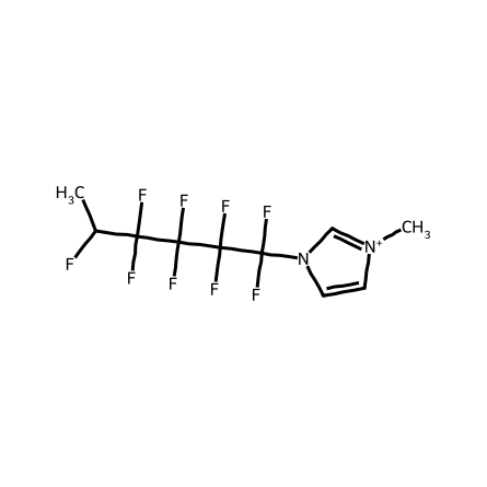 CC(F)C(F)(F)C(F)(F)C(F)(F)C(F)(F)n1cc[n+](C)c1